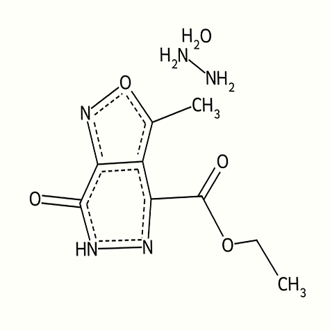 CCOC(=O)c1n[nH]c(=O)c2noc(C)c12.NN.O